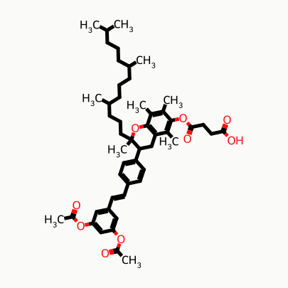 CC(=O)Oc1cc(C=Cc2ccc(C3Cc4c(C)c(OC(=O)CCC(=O)O)c(C)c(C)c4OC3(C)CCCC(C)CCCC(C)CCCC(C)C)cc2)cc(OC(C)=O)c1